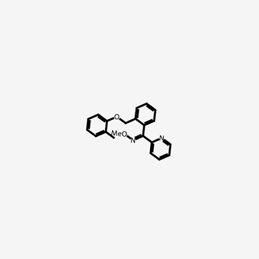 CON=C(c1ccccn1)c1ccccc1COc1ccccc1C